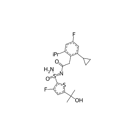 CC(C)c1cc(F)cc(C2CC2)c1CC(=O)N=[S@](N)(=O)c1sc(C(C)(C)O)cc1F